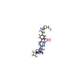 Cc1ncc(-c2ccc(-c3ccc(N4CCC(NC5(C)CCC5)C4)nn3)c(O)c2)s1